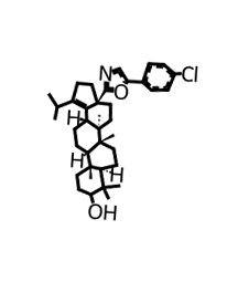 CC(C)C1=C2[C@H]3CC[C@@H]4[C@@]5(C)CCC(O)C(C)(C)[C@@H]5CC[C@@]4(C)[C@]3(C)CC[C@@]2(c2ncc(-c3ccc(Cl)cc3)o2)CC1